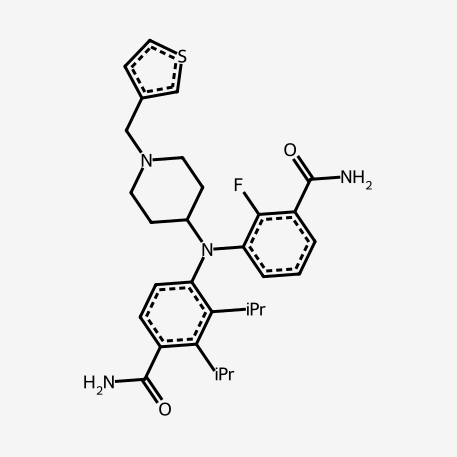 CC(C)c1c(C(N)=O)ccc(N(c2cccc(C(N)=O)c2F)C2CCN(Cc3ccsc3)CC2)c1C(C)C